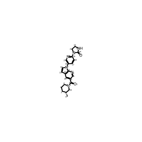 C[C@H]1CCCN(C(=O)c2cnc3c(ccn3-c3ccc(N4CCNC4=O)nc3)c2)C1